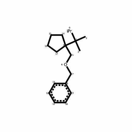 CC(C)C(C)(C)C1(COCc2ccccc2)CCCC1